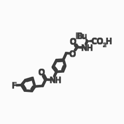 CC[C@H](C)[C@H](NC(=O)OCc1ccc(NC(=O)Cc2ccc(F)cc2)cc1)C(=O)O